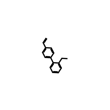 C=Cc1ccc(-c2ccccc2CC)cc1